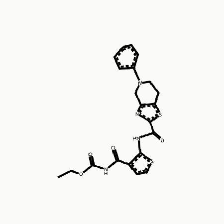 CCOC(=O)NC(=O)c1ccsc1NC(=O)c1nc2c(s1)CCN(c1ccccc1)C2